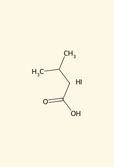 CC(C)CC(=O)O.I